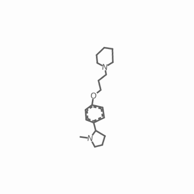 CN1CCCC1c1ccc(OCCCN2CCCCC2)cc1